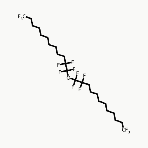 FC(F)(F)CCCCCCCCCC(F)(F)C(F)(F)OC(F)(F)C(F)(F)CCCCCCCCCC(F)(F)F